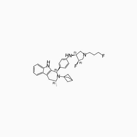 C[C@@H]1Cc2c([nH]c3ccccc23)[C@@H](c2ccc(N[C@H]3CN(CCCF)C[C@H]3F)cc2)N1C12CC(C1)C2